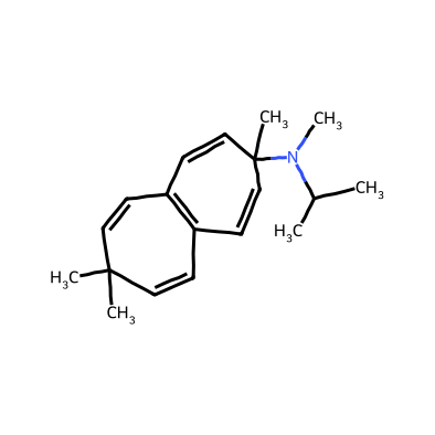 CC(C)N(C)C1(C)C=CC2=C(C=CC(C)(C)C=C2)C=C1